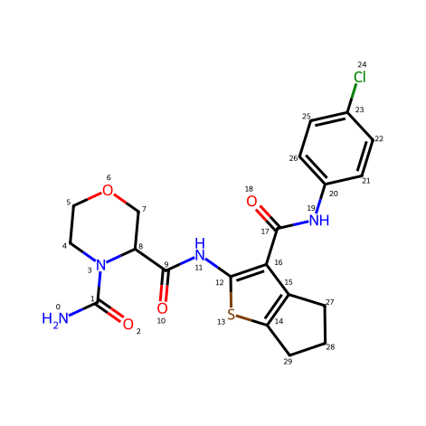 NC(=O)N1CCOCC1C(=O)Nc1sc2c(c1C(=O)Nc1ccc(Cl)cc1)CCC2